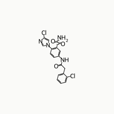 NS(=O)(=O)c1cc(NC(=O)Cc2ccccc2Cl)ccc1-n1cnc(Cl)c1